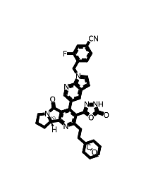 N#Cc1ccc(Cn2ccc3cc(-c4c5c(nc(CCC67CCC(CC6)OC7)c4-c4n[nH]c(=O)o4)[C@@H]4CCCN4C5=O)cnc32)c(F)c1